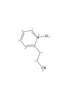 N#CCCc1cccc[n+]1[O-]